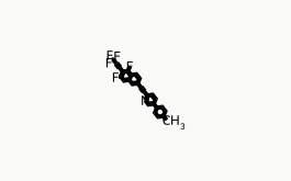 CC1CCC(c2ccc(C#Cc3ccc4c(F)c(C#CC(F)(F)F)c(F)cc4c3)nc2)CC1